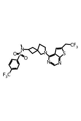 CN(C1CC2(CCN(c3ncnc4sc(CC(F)(F)F)cc34)C2)C1)S(=O)(=O)c1ccc(C(F)(F)F)cc1